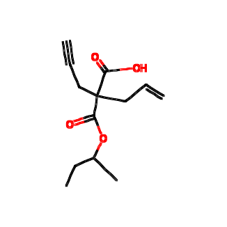 C#CCC(CC=C)(C(=O)O)C(=O)OC(C)CC